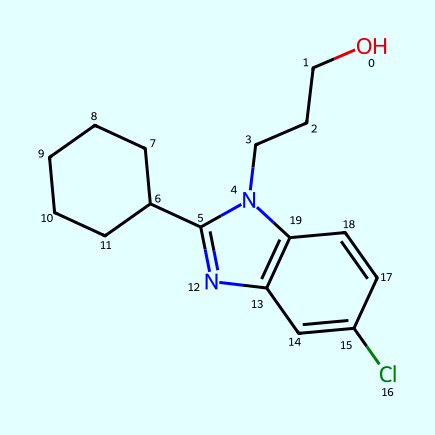 OCCCn1c(C2CCCCC2)nc2cc(Cl)ccc21